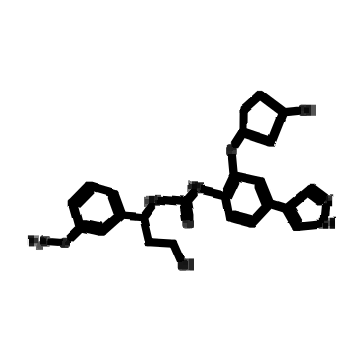 COc1cccc(C(CCO)NC(=O)Nc2ccc(-c3cn[nH]c3)cc2OC2CCC(O)C2)c1